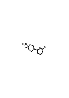 CC1(N)CCN(c2cccc(Br)n2)CC1